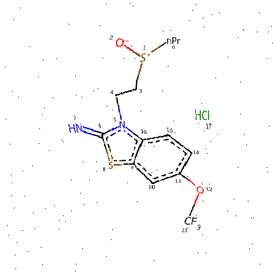 CCC[S+]([O-])CCn1c(=N)sc2cc(OC(F)(F)F)ccc21.Cl